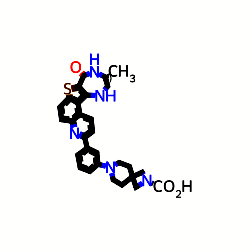 C[C@@H]1CNc2c(sc3ccc4nc(-c5cccc(N6CCC7(CC6)CN(C(=O)O)C7)c5)ccc4c23)C(=O)N1